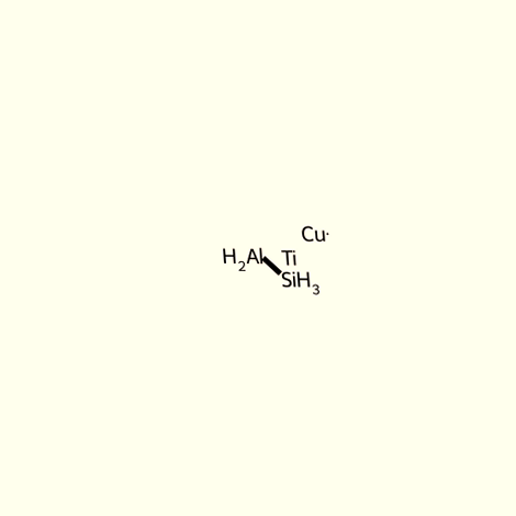 [AlH2][SiH3].[Cu].[Ti]